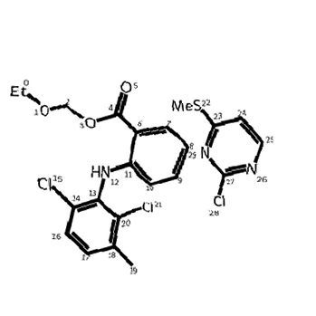 CCOCOC(=O)c1ccccc1Nc1c(Cl)ccc(C)c1Cl.CSc1ccnc(Cl)n1